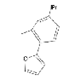 Cc1cc(C(C)C)ccc1-c1ccco1